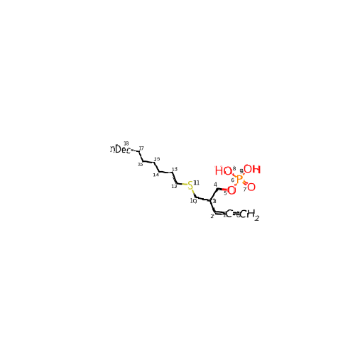 C=C=CC(COP(=O)(O)O)CSCCCCCCCCCCCCCCCC